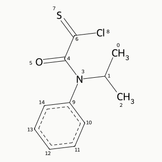 CC(C)N(C(=O)C(=S)Cl)c1ccccc1